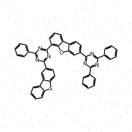 c1ccc(-c2nc(-c3ccccc3)nc(-c3ccc4c(c3)oc3c(-c5nc(-c6ccccc6)nc(-c6ccc7sc8ccccc8c7c6)n5)cccc34)n2)cc1